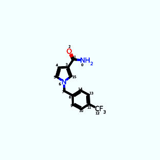 NC(=O)c1ccn(Cc2ccc(C(F)(F)F)cc2)c1